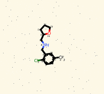 FC(F)(F)c1ccc(Cl)c(CNCC2CCCO2)c1